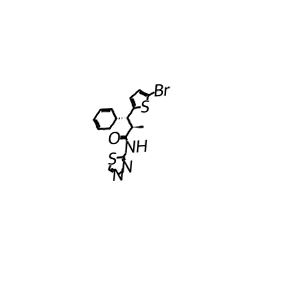 C[C@@H](C(=O)Nc1nncs1)[C@@H](c1ccc(Br)s1)C1C=CC=CC1